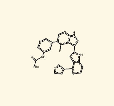 CCCCC(=O)Nc1cncc(-c2cnc3[nH]nc(-c4nc5c(-c6ccoc6)nccc5[nH]4)c3c2F)c1